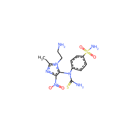 Cc1nc([N+](=O)[O-])c(N(C(N)=S)c2ccc(S(N)(=O)=O)cc2)n1CCN